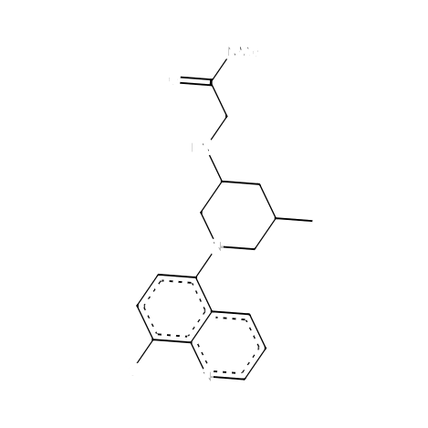 CNC(=O)CNC1CC(C)CN(c2ccc(C(F)(F)F)c3ncccc23)C1